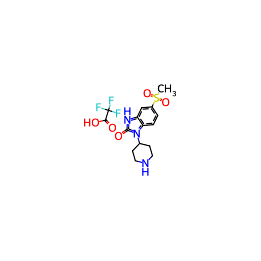 CS(=O)(=O)c1ccc2c(c1)[nH]c(=O)n2C1CCNCC1.O=C(O)C(F)(F)F